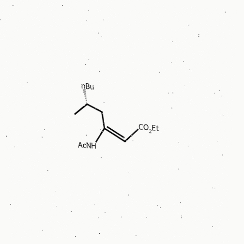 CCCC[C@@H](C)C/C(=C\C(=O)OCC)NC(C)=O